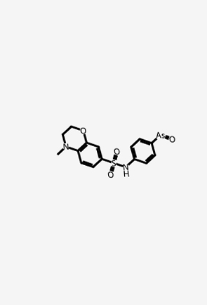 CN1CCOc2cc(S(=O)(=O)Nc3ccc([As]=O)cc3)ccc21